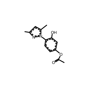 CC(=O)Oc1ccc(-n2nc(C)cc2C)c(O)c1